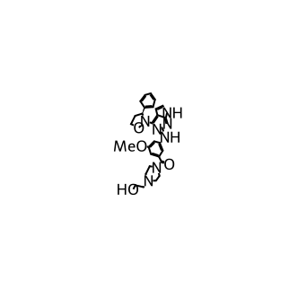 COc1cc(Nc2nc(N3OCC[C@H]3c3ccccc3)c3cc[nH]c3n2)cc(C(=O)N2CCN(CCO)CC2)c1